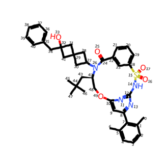 Cc1cccc(C)c1-c1cc2nc(n1)NS(=O)(=O)c1cccc(c1)C(=O)N(C1CC3(C1)CC(O)(Cc1ccccc1)C3)[C@H](CC(C)(C)C)CO2